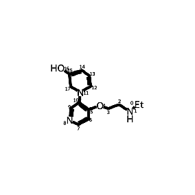 CCNCCOc1ccncc1N1C=CC=C(O)C1